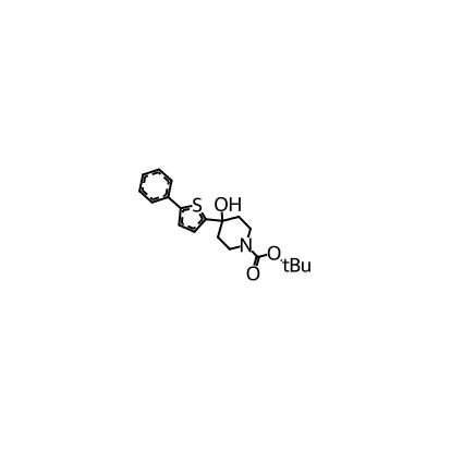 CC(C)(C)OC(=O)N1CCC(O)(c2ccc(-c3ccccc3)s2)CC1